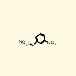 O=C(O)Sc1cccc([N+](=O)[O-])c1